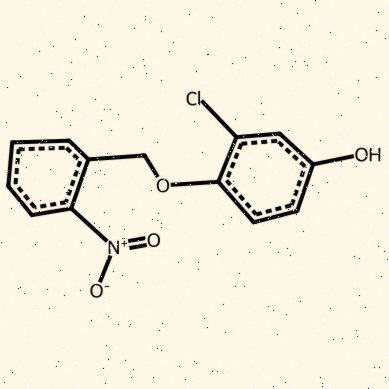 O=[N+]([O-])c1ccccc1COc1ccc(O)cc1Cl